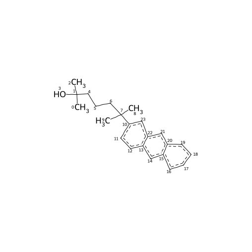 CC(C)(O)CCCC(C)(C)c1ccc2cc3ccccc3cc2c1